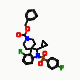 O=C(OCc1ccccc1)N1CCC2(CC1)c1c(F)cccc1N(S(=O)(=O)c1ccc(F)cc1)C2C1CC1